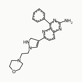 Nc1nc(-c2ccccc2)c2nc(C3=CN(CCN4CCOCC4)NC3)ccc2n1